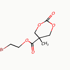 CC1(C(=O)OCCBr)COC(=O)OC1